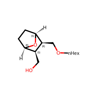 CCCCCCOC[C@H]1[C@@H](CO)[C@H]2CC[C@@H]1O2